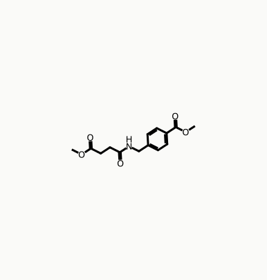 COC(=O)CCC(=O)NCc1ccc(C(=O)OC)cc1